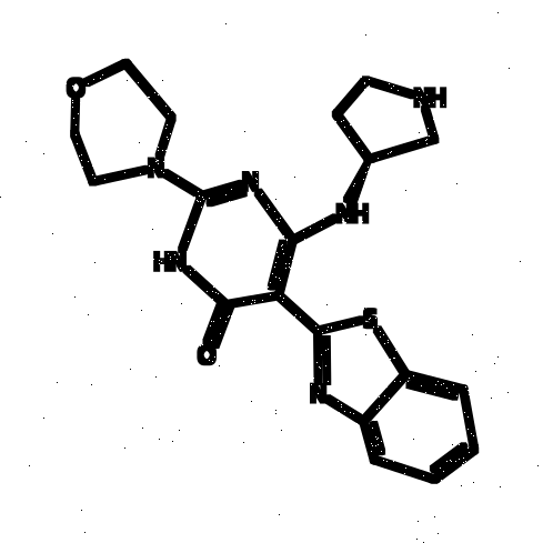 O=c1[nH]c(N2CCOCC2)nc(N[C@H]2CCNC2)c1-c1nc2ccccc2s1